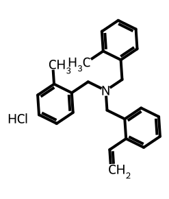 C=Cc1ccccc1CN(Cc1ccccc1C)Cc1ccccc1C.Cl